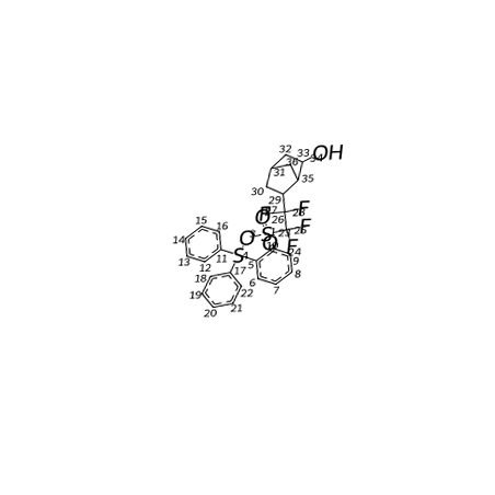 O=S(=O)(OS(c1ccccc1)(c1ccccc1)c1ccccc1)C(F)(F)C(F)(F)C1CC2CC(O)C1C2